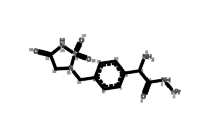 CCCNC(=O)C(N)c1ccc(CN2CC(=O)NS2(=O)=O)cc1